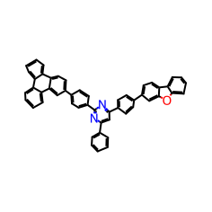 c1ccc(-c2cc(-c3ccc(-c4ccc5c(c4)oc4ccccc45)cc3)nc(-c3ccc(-c4ccc5c6ccccc6c6ccccc6c5c4)cc3)n2)cc1